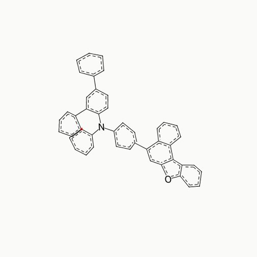 c1ccc(-c2ccc(N(c3ccccc3)c3ccc(-c4cc5oc6ccccc6c5c5ccccc45)cc3)c(-c3ccccc3)c2)cc1